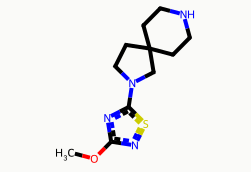 COc1nsc(N2CCC3(CCNCC3)C2)n1